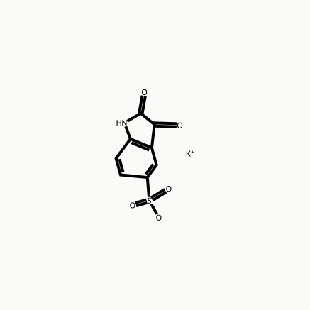 O=C1Nc2ccc(S(=O)(=O)[O-])cc2C1=O.[K+]